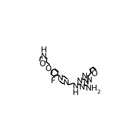 Nc1nc(NCCN2CCN(c3ccc(OCC4CNCCO4)cc3F)CC2)nc2nc(-c3ccco3)nn12